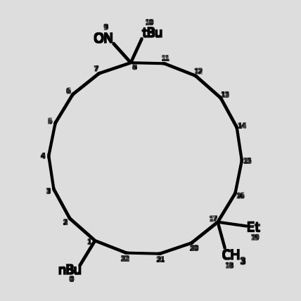 CCCCC1CCCCCCC(N=O)(C(C)(C)C)CCCCCCC(C)(CC)CCC1